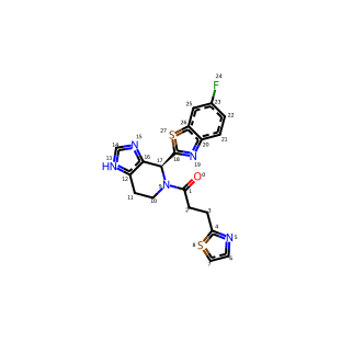 O=C(CCc1nccs1)N1CCc2[nH]cnc2[C@H]1c1nc2ccc(F)cc2s1